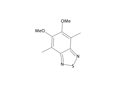 COc1c(OC)c(C)c2nsnc2c1C